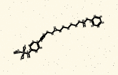 CCCCS(=O)(=O)Nc1ccc(C#CCCOCCCCCCNCc2ccccc2)cc1